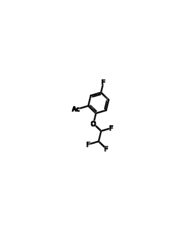 CC(=O)c1cc(F)ccc1OC(F)C(F)F